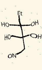 CCC(O)(O)C(O)(O)CN=O